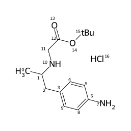 CC(Cc1ccc(N)cc1)NCC(=O)OC(C)(C)C.Cl